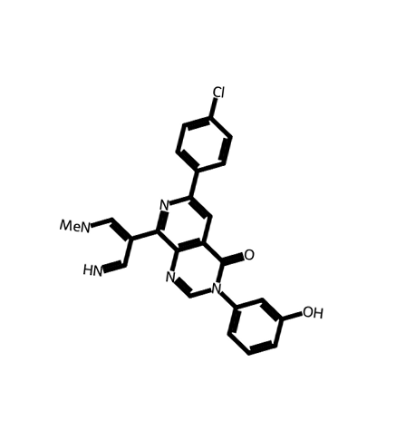 CN/C=C(\C=N)c1nc(-c2ccc(Cl)cc2)cc2c(=O)n(-c3cccc(O)c3)cnc12